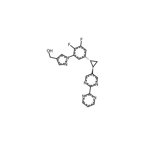 OCc1cnn(-c2cc([C@@H]3C[C@H]3c3cnc(-c4ncccn4)nc3)cc(F)c2F)c1